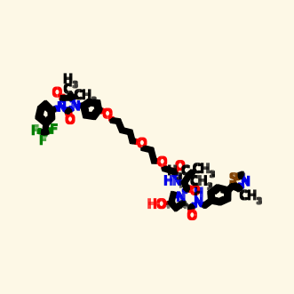 Cc1ncsc1-c1ccc(CNC(=O)[C@@H]2C[C@@H](O)CN2C(=O)[C@@H](NC(=O)COCCCOCCCCCOc2ccc(N3C(=O)N(c4cccc(C(F)(F)F)c4)C(=O)C3(C)C)cc2)C(C)(C)C)cc1